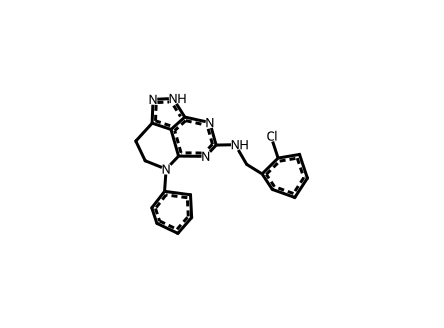 Clc1ccccc1CNc1nc2c3c(n[nH]c3n1)CCN2c1ccccc1